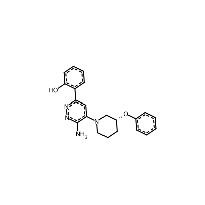 Nc1nnc(-c2ccccc2O)cc1N1CCC[C@@H](Oc2ccccc2)C1